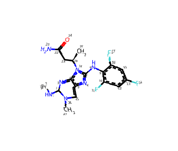 CC(C)NC1N=c2c(nc(Nc3c(F)cc(F)cc3F)n2[C@H](C)CC(N)=O)=CN1C